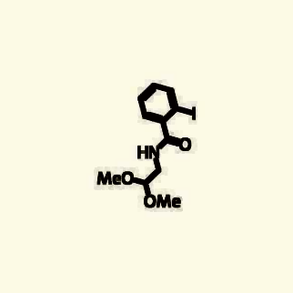 COC(CNC(=O)c1ccccc1I)OC